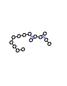 c1ccc(-c2ccc(-n3c4ccccc4c4cc(-c5ccc6c(c5)c5ccccc5n6-c5cccc(-c6ccc(-c7ccc(-c8cccc(-c9cccc(-c%10ccc(-c%11cccc(-c%12ccccc%12)c%11)cc%10)c9)c8)cc7)cc6)c5)ccc43)cc2)cc1